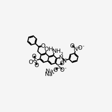 Nc1c(N=Nc2cccc([N+](=O)[O-])c2)c(S(=O)(=O)[O-])cc2cc(S(=O)(=O)[O-])c(CC(=O)c3ccccc3)c(O)c12.[Na+].[Na+]